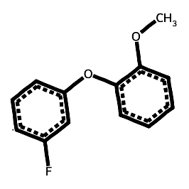 COc1ccccc1Oc1cc[c]c(F)c1